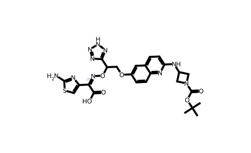 CC(C)(C)OC(=O)N1CC(Nc2ccc3cc(OCC(O/N=C(\C(=O)O)c4csc(N)n4)c4nn[nH]n4)ccc3n2)C1